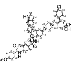 COC1CCC(CNc2ccc(S(=O)(=O)NC(=O)c3ccc(N4CCN(CC5=C(c6ccc(Cl)cc6)CC(C)(C)CC5)CC4)cc3-n3ncc4nc5[nH]ccc5cc43)cc2[N+](=O)[O-])CC1